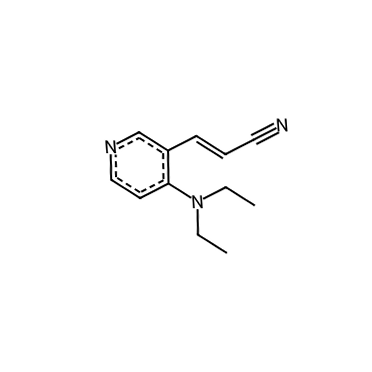 CCN(CC)c1ccncc1C=CC#N